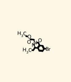 CCOC(=O)Cn1nc(CC)c2ccc(Br)cc2c1=O